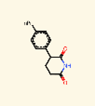 CCCc1ccc(C2CCC(=O)NC2=O)cc1